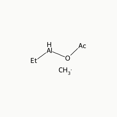 C[CH2][AlH][O]C(C)=O.[CH3]